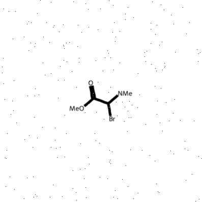 CNC(Br)C(=O)OC